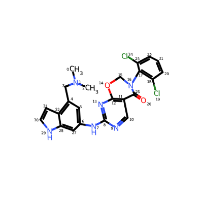 CN(C)Cc1cc(Nc2ncc3c(n2)OCN(c2c(Cl)cccc2Cl)C3=O)cc2[nH]ccc12